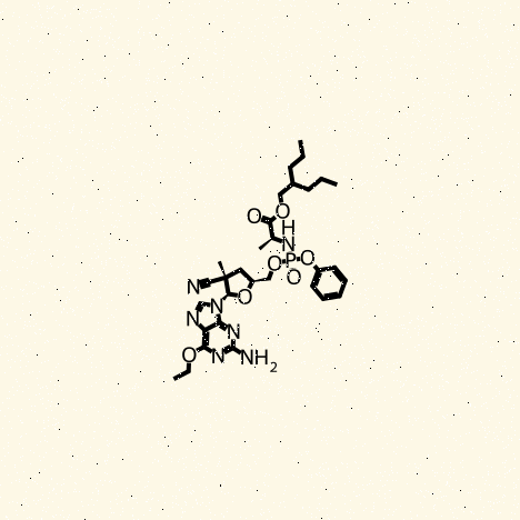 CCCC(CCC)COC(=O)[C@H](C)NP(=O)(OC[C@@H]1C[C@@](C)(C#N)[C@H](n2cnc3c(OCC)nc(N)nc32)O1)Oc1ccccc1